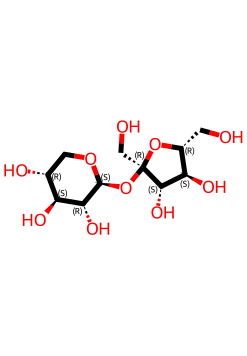 OC[C@H]1O[C@](CO)(O[C@@H]2OC[C@@H](O)[C@H](O)[C@H]2O)[C@@H](O)[C@@H]1O